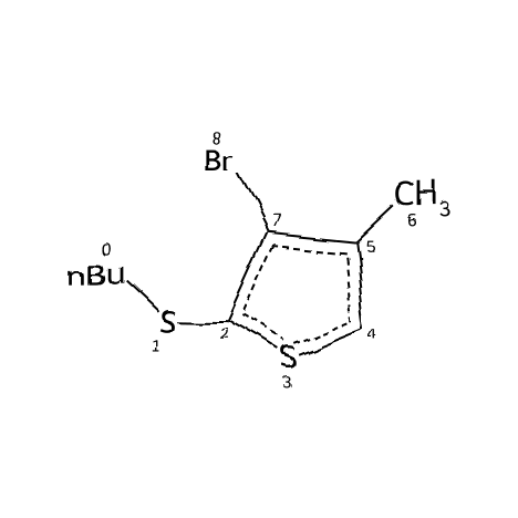 CCCCSc1scc(C)c1Br